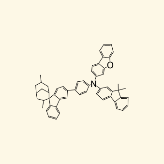 CC1CC2CC(C)C3(c4ccccc4-c4cc(-c5ccc(N(c6ccc7c(c6)C(C)(C)c6ccccc6-7)c6ccc7c(c6)oc6ccccc67)cc5)ccc43)C(C1)C2